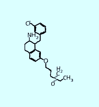 C=S(=O)(CC)CCCOc1ccc2c(c1)C(Cc1cccc(Cl)c1)C(N)CC2